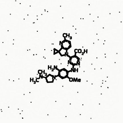 COc1cc(N2CC[C@@H](N(C)C)C2)c(N)cc1Nc1ncc(C(=O)O)c(N2CC3(CC3)c3nc(C)ccc32)n1